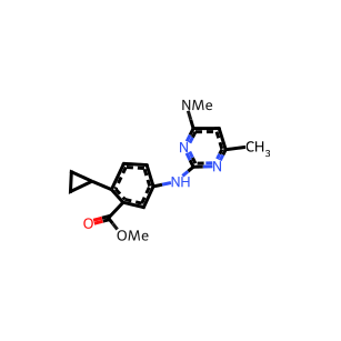 CNc1cc(C)nc(Nc2ccc(C3CC3)c(C(=O)OC)c2)n1